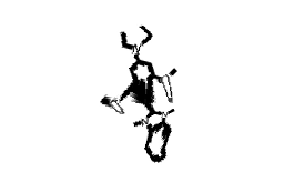 CCN(CC)c1cc(OC)c(C2N(C)c3ccccc3N2C)c(OC)c1